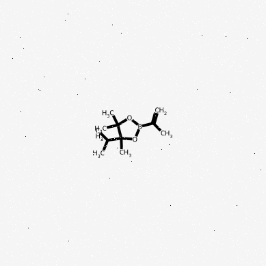 C=C(C)B1OC(C)(C)C(C)(C(C)C)O1